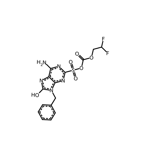 Nc1nc(S(=O)(=O)OC(=O)OCC(F)F)nc2c1nc(O)n2Cc1ccccc1